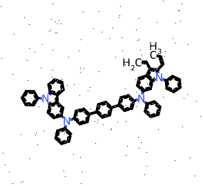 C=Cc1c(/C=C\C)n(-c2ccccc2)c2cc(N(c3ccccc3)c3ccc(-c4ccc(-c5ccc(N(c6ccccc6)c6ccc7c(c6)c6ccccc6n7-c6ccccc6)cc5)cc4)cc3)ccc12